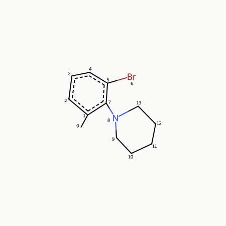 Cc1cccc(Br)c1N1CCCCC1